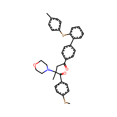 CSc1ccc(C(=O)C(C)(CC(=O)c2ccc(-c3ccccc3Sc3ccc(C)cc3)cc2)N2CCOCC2)cc1